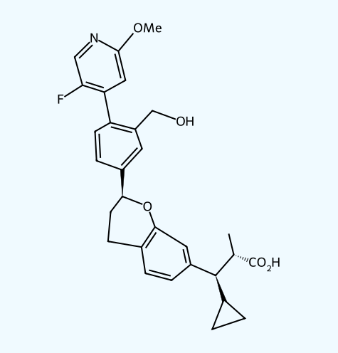 COc1cc(-c2ccc([C@@H]3CCc4ccc([C@H](C5CC5)[C@H](C)C(=O)O)cc4O3)cc2CO)c(F)cn1